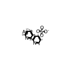 O=S(=O)([O-])[O-].[Ag+2].c1ccncc1.c1ccncc1